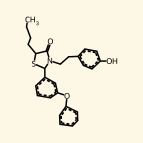 CCCCC1SC(c2cccc(Oc3ccccc3)c2)N(CCc2ccc(O)cc2)C1=O